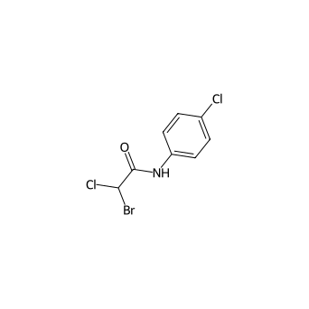 O=C(Nc1ccc(Cl)cc1)C(Cl)Br